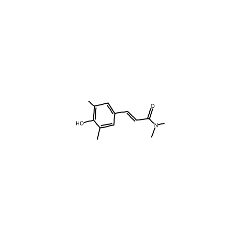 Cc1cc(/C=C/C(=O)N(C)C)cc(C)c1O